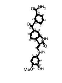 COc1ccc(NC=C2C(=O)Nc3cc(C(=O)c4cccc(C(N)=O)c4)ccc32)cc1O